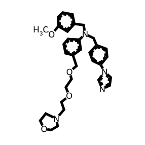 COc1cccc(CN(Cc2ccc(-n3ccnc3)cc2)c2cccc(COCCOCCN3CCOCC3)c2)c1